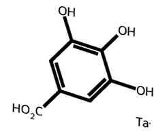 O=C(O)c1cc(O)c(O)c(O)c1.[Ta]